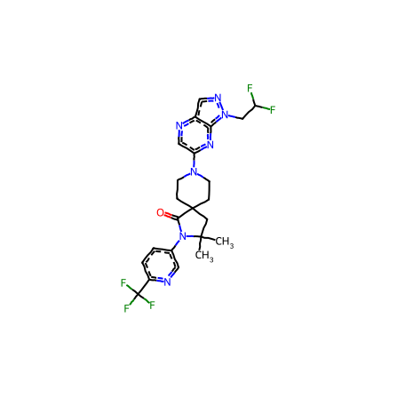 CC1(C)CC2(CCN(c3cnc4cnn(CC(F)F)c4n3)CC2)C(=O)N1c1ccc(C(F)(F)F)nc1